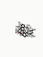 Cc1ccc(C(C)(C)C)c(OC(c2c(C(C)(C)C)ccc(C)c2C(C)(C)C)C(CO)(CO)CO)c1C(C)(C)C.OP(O)OP(O)O